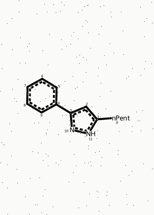 CCCCCc1cc(-c2ccccc2)n[nH]1